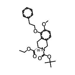 CCOC(=O)[C@@H]1Cc2c(ccc(OC)c2OCCc2ccccc2)CN1C(=O)OC(C)(C)C